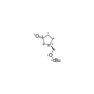 CC(C)(C)OC[C@@H]1CCC(=O)C1